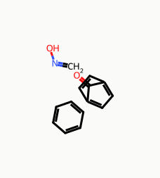 C=NO.O=C1C2=CC=C1C=C2.c1ccccc1